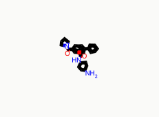 NC1CCC(NC(=O)C23CC4CC(C(=O)N5CCCC5)(C2)CC(c2ccccc2)(C4)C3)CC1